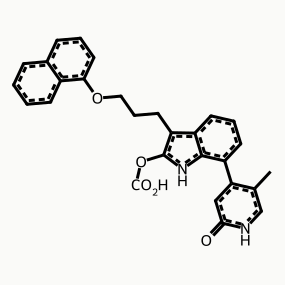 Cc1c[nH]c(=O)cc1-c1cccc2c(CCCOc3cccc4ccccc34)c(OC(=O)O)[nH]c12